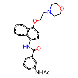 CC(=O)Nc1cccc(C(=O)Nc2ccc(OCCN3CCOCC3)c3ccccc23)c1